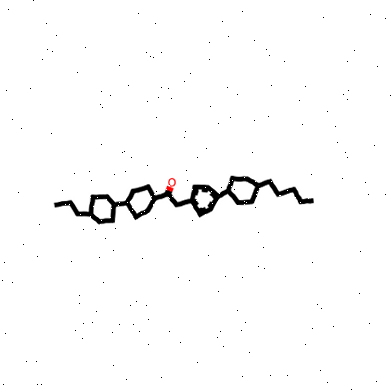 CCCCCC1CCC(c2ccc(CC(=O)C3CCC(C4CCC(CCC)CC4)CC3)cc2)CC1